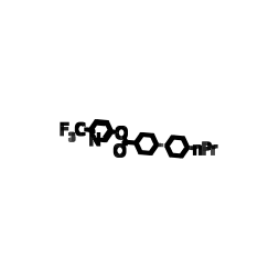 CCC[C@H]1CC[C@H](C2CCC(C(=O)Oc3ccc(C(F)(F)F)nc3)CC2)CC1